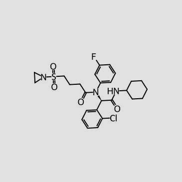 O=C(NC1CCCCC1)[C@@H](c1ccccc1Cl)N(C(=O)CCCS(=O)(=O)N1CC1)c1cccc(F)c1